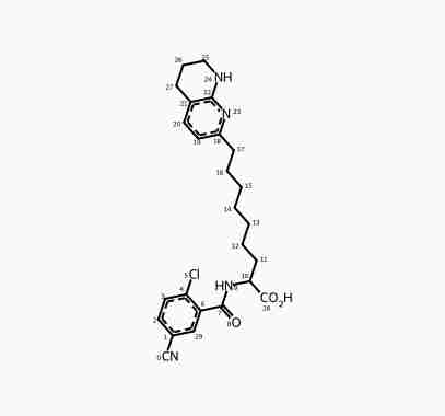 N#Cc1ccc(Cl)c(C(=O)NC(CCCCCCCc2ccc3c(n2)NCCC3)C(=O)O)c1